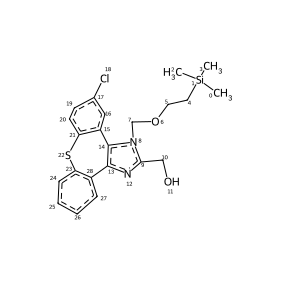 C[Si](C)(C)CCOCn1c(CO)nc2c1-c1cc(Cl)ccc1Sc1ccccc1-2